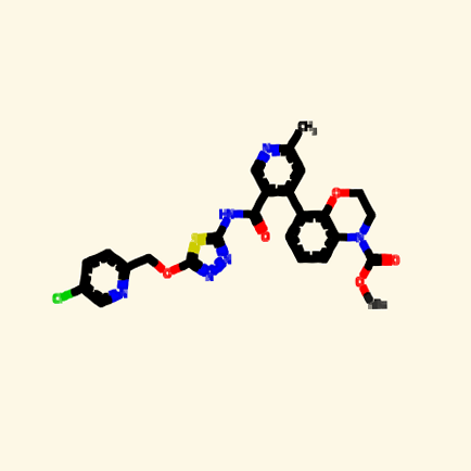 CCCCOC(=O)N1CCOc2c(-c3cc(C)ncc3C(=O)Nc3nnc(OCc4ccc(Cl)cn4)s3)cccc21